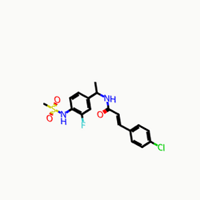 CC(NC(=O)/C=C/c1ccc(Cl)cc1)c1ccc(NS(C)(=O)=O)c(F)c1